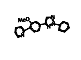 COc1cc(-c2cnn(-c3ccccc3)n2)ccc1-c1ccccn1